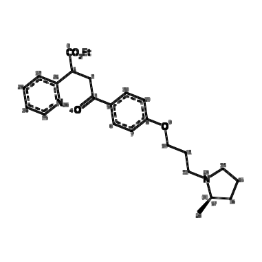 CCOC(=O)C(CC(=O)c1ccc(OCCCN2CCC[C@H]2C)cc1)c1ccccn1